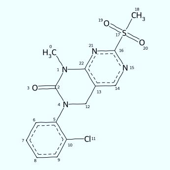 CN1C(=O)N(c2ccccc2Cl)Cc2cnc(S(C)(=O)=O)nc21